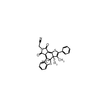 CC1=C(c2ccccc2)SC2=C3C(=O)N(CC#N)C(=O)C3=C3c4ccccc4SC3(C)C12C